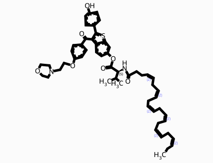 CC/C=C\C/C=C\C/C=C\C/C=C\C/C=C\C/C=C\CCC(=O)N[C@H](C(=O)Oc1ccc2c(C(=O)c3ccc(OCCN4CCOCC4)cc3)c(-c3ccc(O)cc3)sc2c1)C(C)C